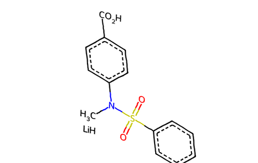 CN(c1ccc(C(=O)O)cc1)S(=O)(=O)c1ccccc1.[LiH]